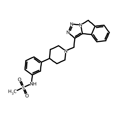 CS(=O)(=O)Nc1cccc(C2CCN(Cc3nnn4c3-c3ccccc3C4)CC2)c1